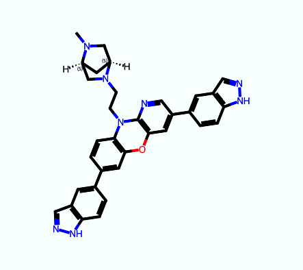 CN1C[C@@H]2C[C@H]1CN2CCN1c2ccc(-c3ccc4[nH]ncc4c3)cc2Oc2cc(-c3ccc4[nH]ncc4c3)cnc21